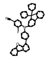 N#Cc1ccc(N(c2ccc(-c3cccc4c3oc3ccccc34)cc2)c2ccc3c(c2)C(c2ccccc2)(c2ccccc2)c2ccccc2-3)c(F)c1